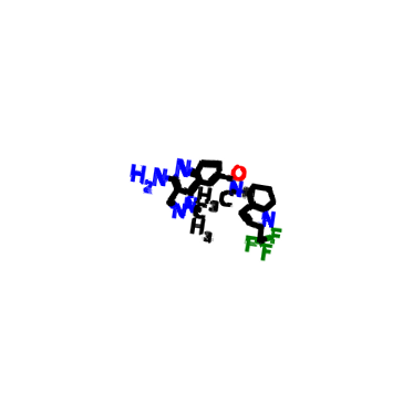 CN(C(=O)c1ccc2nc(N)c3cnn(C)c3c2c1)[C@@H]1CCCc2nc(C(F)(F)F)ccc21